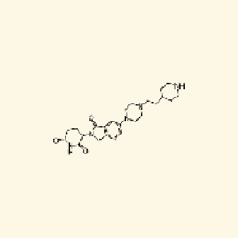 O=C1CCC(N2Cc3ccc(N4CCN(CCC5CCNCC5)CC4)cc3C2=O)C(=O)N1